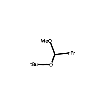 CCCC(OC)OC(C)(C)C